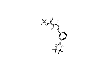 C[C@H](COc1cccc(B2OC(C)(C)C(C)(C)O2)c1)NC(=O)OC(C)(C)C